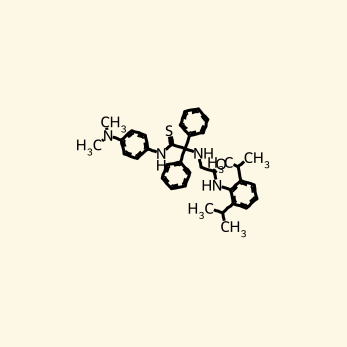 CC(C)c1cccc(C(C)C)c1NC(=O)CNC(C(=S)Nc1ccc(N(C)C)cc1)(c1ccccc1)c1ccccc1